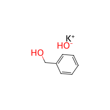 OCc1ccccc1.[K+].[OH-]